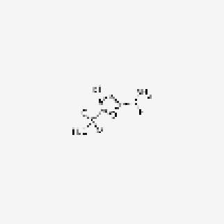 CCC(N)c1ccc(S(C)(=O)=O)o1.Cl